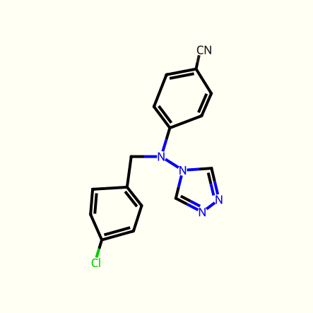 N#Cc1ccc(N(Cc2ccc(Cl)cc2)n2cnnc2)cc1